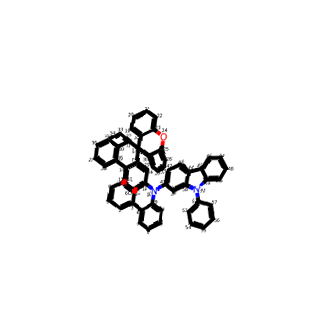 c1ccc(-c2ccccc2N(c2ccc3c(c2)C2(c4ccccc4Oc4ccccc42)c2cccc4cccc-3c24)c2ccc3c4ccccc4n(-c4ccccc4)c3c2)cc1